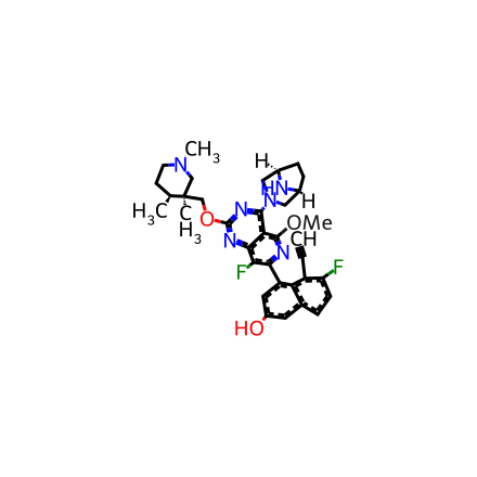 C#Cc1c(F)ccc2cc(O)cc(-c3nc(OC)c4c(N5C[C@H]6CC[C@@H](C5)N6)nc(OC[C@]5(C)CN(C)CC[C@@H]5C)nc4c3F)c12